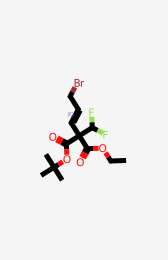 CCOC(=O)C(/C=C/CBr)(C(=O)OC(C)(C)C)C(F)F